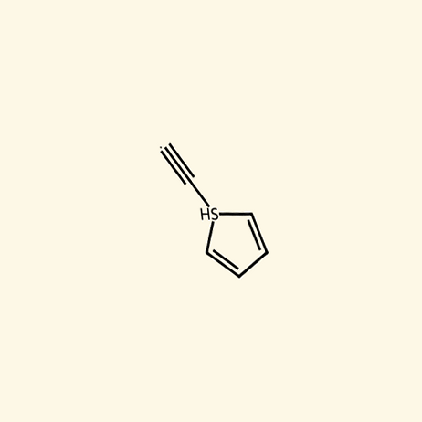 [C]#C[SH]1C=CC=C1